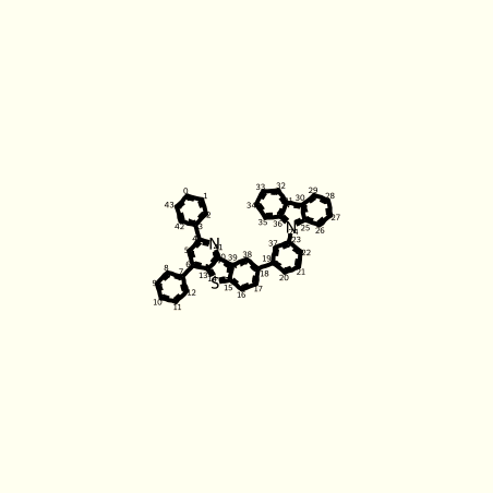 c1ccc(-c2cc(-c3ccccc3)c3sc4ccc(-c5cccc(-n6c7ccccc7c7ccccc76)c5)cc4c3n2)cc1